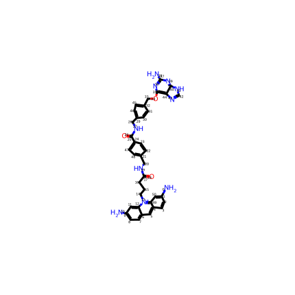 Nc1ccc2cc3ccc(N)cc3[n+](CCCC(=O)NCc3ccc(C(=O)NCc4ccc(COc5nc(N)nc6[nH]cnc56)cc4)cc3)c2c1